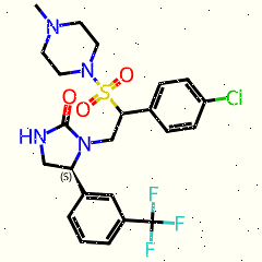 CN1CCN(S(=O)(=O)C(CN2C(=O)NC[C@@H]2c2cccc(C(F)(F)F)c2)c2ccc(Cl)cc2)CC1